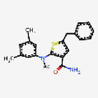 CC(=O)N(c1cc(C)cc(C)c1)c1sc(Cc2ccccc2)cc1C(N)=O